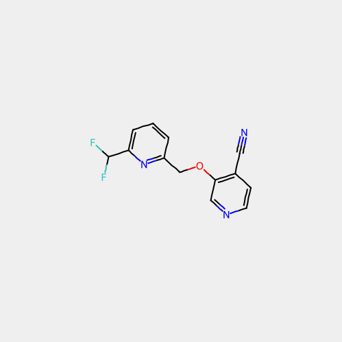 N#Cc1ccncc1OCc1cccc(C(F)F)n1